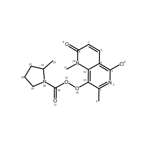 Cc1nc(Cl)c2ccc(=O)n(C)c2c1OOC(=O)N1CCCC1C